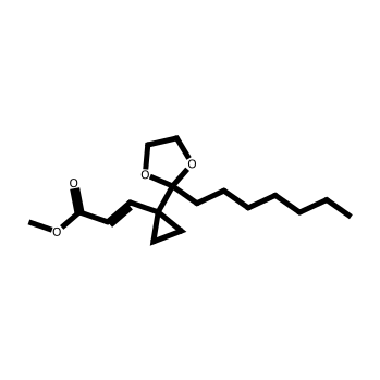 CCCCCCCC1(C2(/C=C/C(=O)OC)CC2)OCCO1